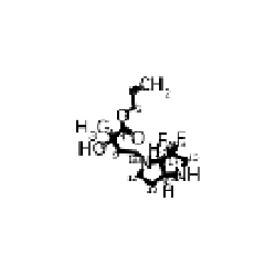 C=CCOC(=O)C(C)(O)CCN1CC[C@@H]2NCC(F)(F)[C@@H]21